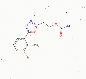 Cc1c(Br)cccc1-c1nnc(CCOC(N)=O)o1